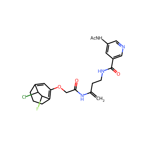 C=C(CCNC(=O)c1cncc(NC(C)=O)c1)NC(=O)COC1=C2CCCC(=C1)C(Cl)C2F